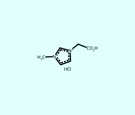 Cl.Cn1cc[n+](CC(=O)O)c1